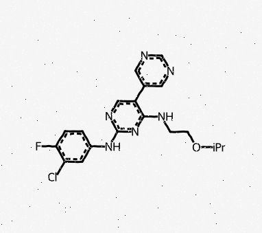 CC(C)OCCNc1nc(Nc2ccc(F)c(Cl)c2)ncc1-c1cncnc1